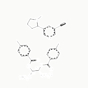 C#Cc1cncc(C2CCCN2C)c1.Cc1ccc(C(=O)O[C@H](C(=O)O)[C@H](OC(=O)c2ccc(C)cc2)C(=O)O)cc1